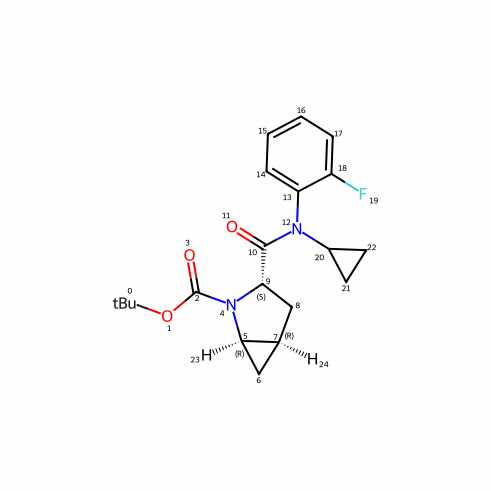 CC(C)(C)OC(=O)N1[C@@H]2C[C@@H]2C[C@H]1C(=O)N(c1ccccc1F)C1CC1